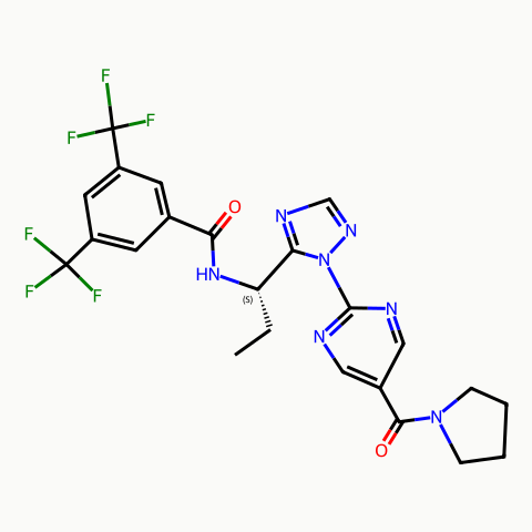 CC[C@H](NC(=O)c1cc(C(F)(F)F)cc(C(F)(F)F)c1)c1ncnn1-c1ncc(C(=O)N2CCCC2)cn1